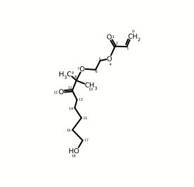 C=CC(=O)OCCOC(C)(C)C(=O)CCCCCO